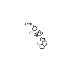 CC(=O)Nc1ccc(S(=O)(=O)NC(=O)c2cn(C)c(-c3c(F)cccc3F)n2)c(Cl)c1